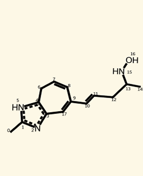 Cc1nc2c([nH]1)CC=CC(/C=C/CC(C)NO)=C2